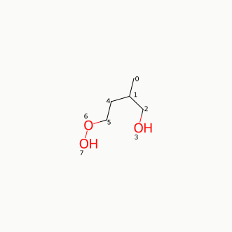 CC(CO)CCOO